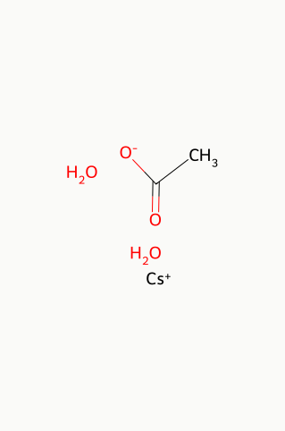 CC(=O)[O-].O.O.[Cs+]